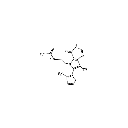 Cc1ccsc1-c1c(C#N)c2nc[nH]c(=S)c2n1CCNC(=O)C(F)(F)F